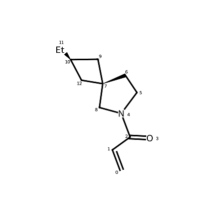 C=CC(=O)N1CC[C@]2(C1)C[C@H](CC)C2